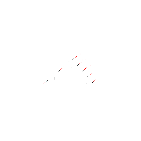 CC(=O)[O-].CC(=O)[O-].CC(=O)[O-].CC(=O)[O-].CC(=O)[O-].CC(=O)[O-].CO.[U+6]